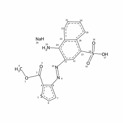 COC(=O)c1sccc1/N=N/c1cc(S(=O)(=O)O)c2ccccc2c1N.[NaH]